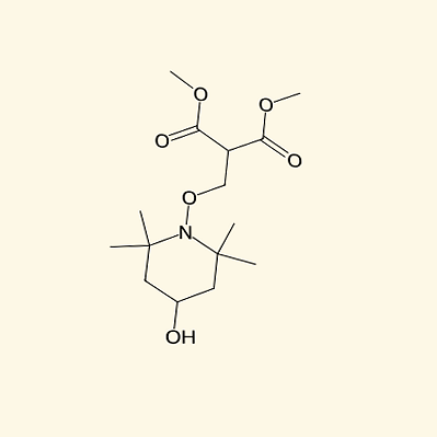 COC(=O)C(CON1C(C)(C)CC(O)CC1(C)C)C(=O)OC